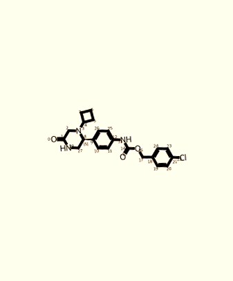 O=C1CN(C2CCC2)[C@@H](c2ccc(NC(=O)OCc3ccc(Cl)cc3)cc2)CN1